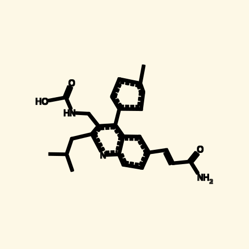 Cc1ccc(-c2c(CNC(=O)O)c(CC(C)C)nc3ccc(C=CC(N)=O)cc23)cc1